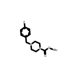 CC(C)(C)OC(=O)N1CCN(Cc2ccc(F)cc2)CC1